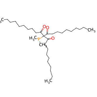 CCCCCCCCCC(=O)C(C(=O)CCCCCCCCC)(C(=O)CCCCCCCCC)P(C)C